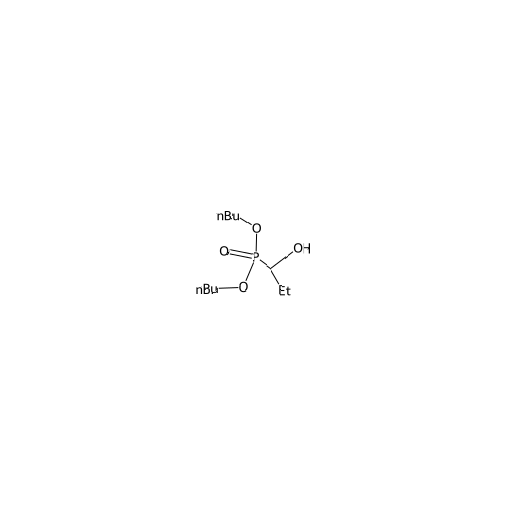 [CH2]CC(O)P(=O)(OCCCC)OCCCC